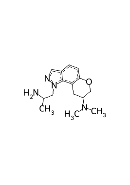 CC(N)Cn1ncc2ccc3c(c21)CC(N(C)C)CO3